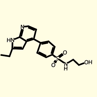 CCc1cc2c(-c3ccc(S(=O)(=O)NCCO)cc3)ccnc2[nH]1